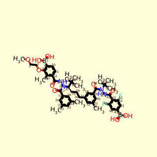 COCCOc1c(B(O)O)ccc(C(=O)NN(C(=O)c2cc(C)cc(C)c2)[C@H](CCCc2cc(C)cc(C(=O)N(NC(=O)c3c(F)cc(B(O)O)cc3F)C(C)(C)C)c2)C(C)(C)C)c1C